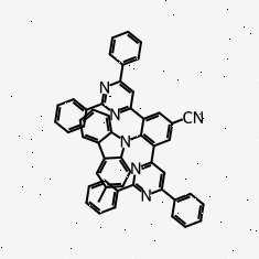 Cc1ccc2c(c1)c1ccccc1n2-c1c(-c2cc(-c3ccccc3)nc(-c3ccccc3)n2)cc(C#N)cc1-c1cc(-c2ccccc2)nc(-c2ccccc2)n1